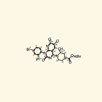 CC(C)c1cc(Br)ccc1-n1c(=O)nc(N2CCN(C(=O)OC(C)(C)C)CC2C)c2cc(Cl)c(Cl)nc21